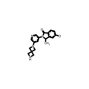 CC1c2cc(Cl)ccc2C(=O)N1c1cncc(N2CC3(CNC3)C2)c1